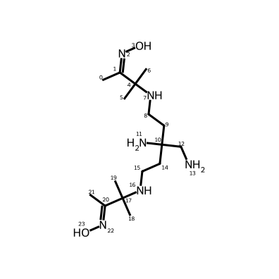 CC(=NO)C(C)(C)NCCC(N)(CN)CCNC(C)(C)C(C)=NO